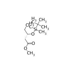 COC(=O)C[C@H](CCl)O[Si](C)(C)C(C)(C)C